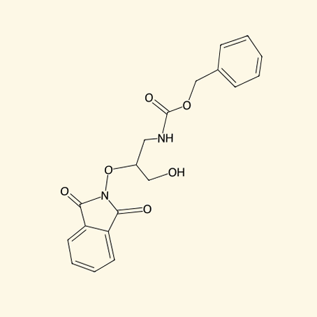 O=C(NCC(CO)ON1C(=O)c2ccccc2C1=O)OCc1ccccc1